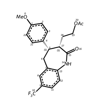 COc1ccc([C@H]2Cc3cc(C(F)(F)F)ccc3NC(=O)[C@H]2CCOC(C)=O)cc1